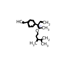 C#Cc1ccc(/C(C=C)=C(/C)OCCC(=C)C(=C)C)cc1